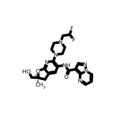 C[C@@]1(CO)Cc2cc(NC(=O)c3cnn4cccnc34)c(N3CCN(CC(F)F)CC3)nc2O1